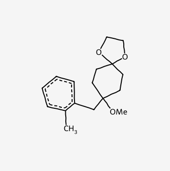 COC1(Cc2ccccc2C)CCC2(CC1)OCCO2